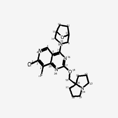 Fc1c(Cl)ncc2c(N3CC4CCC(C3)O4)nc(OCC34CCCN3CCC4)nc12